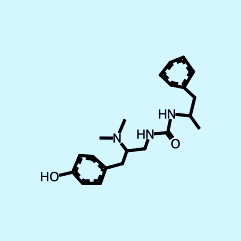 CC(Cc1ccccc1)NC(=O)NCC(Cc1ccc(O)cc1)N(C)C